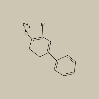 COC1=C(Br)C=C(c2ccccc2)CC1